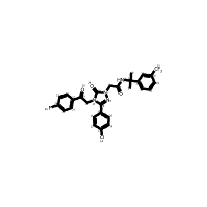 CC(C)(NC(=O)Cn1nc(-c2ccc(Cl)cc2)n(CC(=O)c2ccc(F)cc2)c1=O)c1cccc(C(F)(F)F)c1